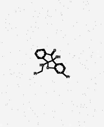 CC(C)CNC12Oc3cc(C(C)C)ccc3C1(O)C(=O)c1ccccc12